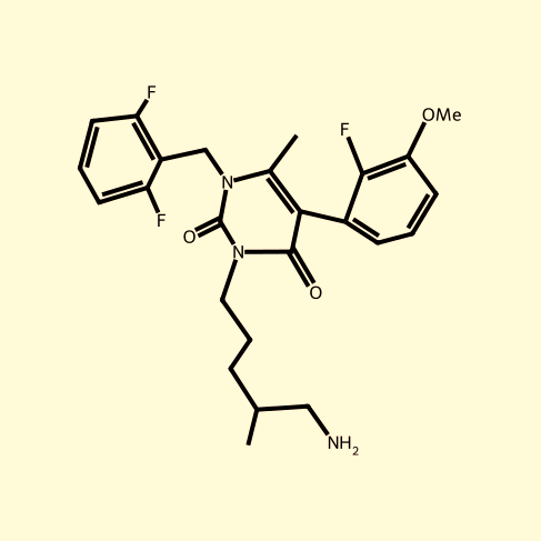 COc1cccc(-c2c(C)n(Cc3c(F)cccc3F)c(=O)n(CCCC(C)CN)c2=O)c1F